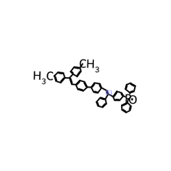 Cc1ccc(C(=Cc2ccc(-c3ccc(/C=C(\c4ccccc4)c4ccc(P(=O)(c5ccccc5)c5ccccc5)cc4)cc3)cc2)c2ccc(C)cc2)cc1